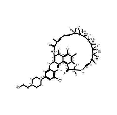 C/C1=C/C=C/[C@H](C)[C@H](O)[C@@H](C)[C@@H](O)[C@@H](C)[C@H](O)[C@H](C)[C@@H](C)/C=C/O[C@@]2(C)Oc3c(C)c(O)c4c(=O)c(c5oc6cc(N7CCN(CCO)CC7)cc(O)c6nc-5c4c3C2=O)NC1=O